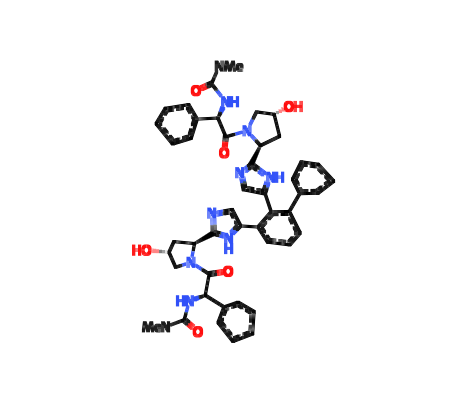 CNC(=O)N[C@@H](C(=O)N1C[C@H](O)C[C@H]1c1ncc(-c2cccc(-c3ccccc3)c2-c2cnc([C@@H]3C[C@@H](O)CN3C(=O)[C@H](NC(=O)NC)c3ccccc3)[nH]2)[nH]1)c1ccccc1